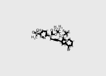 CC(C)(C)OC(=O)N(CC#Cc1cc2c(Br)cccn2c1SC(F)(F)F)c1ccc(P(C)(C)=O)nn1